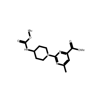 COC(=O)c1cc(C)nc(N2CCC(NC(=O)OC(C)(C)C)CC2)n1